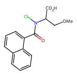 COCC(C(=O)O)N(Cl)C(=O)c1cccc2ccccc12